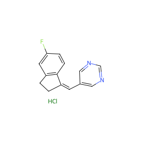 Cl.Fc1ccc2c(c1)CC/C2=C/c1cncnc1